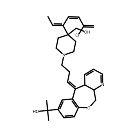 C=C(Cl)/C=C\C(=C/C)C1(CO)CCN(CC/C=C2/c3cc(C(C)(C)O)ccc3OCC3N=CC=CC23)CC1